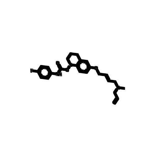 C=CCN(C)CC=CCOc1ccc2c(c1)CCCN2OC(=O)Nc1ccc(F)cc1